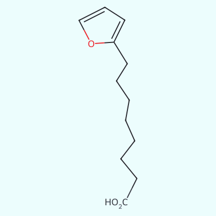 O=C(O)CCCCCCCc1ccco1